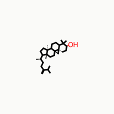 C=C(CC[C@@H](C)C1CC[C@@]2(C)C3CCC4C(C)(C)[C@@H](O)CC[C@@]45C[C@@]35CC[C@]12C)C(C)C